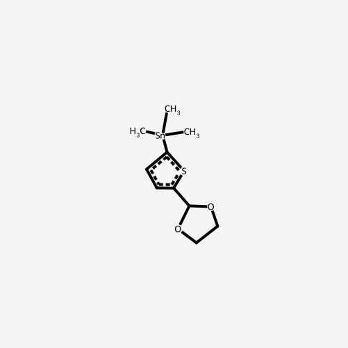 [CH3][Sn]([CH3])([CH3])[c]1ccc(C2OCCO2)s1